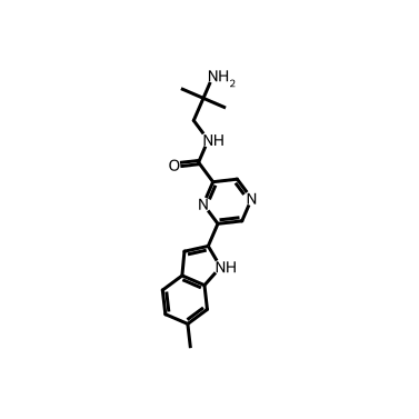 Cc1ccc2cc(-c3cncc(C(=O)NCC(C)(C)N)n3)[nH]c2c1